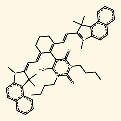 CCCCn1c(O)c(C2=C(/C=C/C3=[N+](C)c4ccc5ccccc5c4C3(C)C)CCC/C2=C\C=C2\N(C)c3ccc4ccccc4c3C2(C)C)c(=O)n(CCCC)c1=O